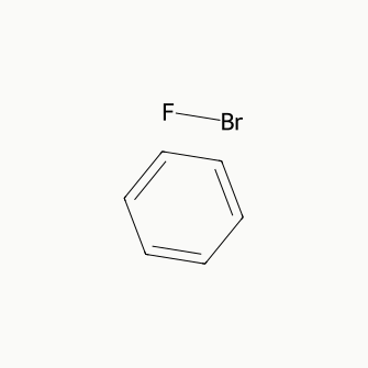 FBr.c1ccccc1